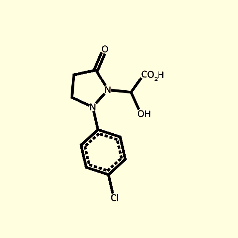 O=C(O)C(O)N1C(=O)CCN1c1ccc(Cl)cc1